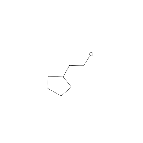 ClCC[C]1CCCC1